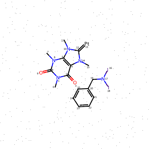 Cn1c(=O)c2c(n(C)c1=O)n(C)[c](=[Pt])n2C.IN(I)Cc1ccccc1